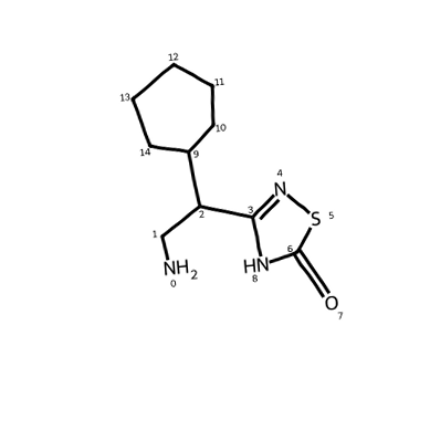 NCC(c1nsc(=O)[nH]1)C1CCCCC1